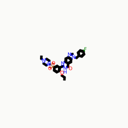 CCCOc1ccc(S(=O)(=O)N2CCN(CC)CC2)cc1-c1nc2cc3ncn(Cc4ccc(F)cc4)c3cc2c(=O)[nH]1